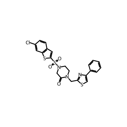 O=C1CN(S(=O)(=O)c2cc3ccc(Cl)cc3s2)CCN1Cc1nc(-c2ccccc2)cs1